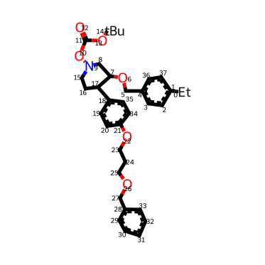 CCc1ccc(COC2CN(OC(=O)OC(C)(C)C)CCC2c2ccc(OCCCOCc3ccccc3)cc2)cc1